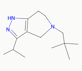 CC(C)c1n[nH]c2c1CN(CC(C)(C)C)CC2